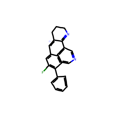 Fc1cc(/C=C2/CCCN=C2c2cccnc2)ccc1-c1ccccc1